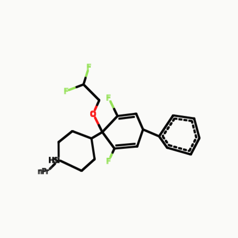 CCC[SiH]1CCC(C2(OCC(F)F)C(F)=CC(c3ccccc3)C=C2F)CC1